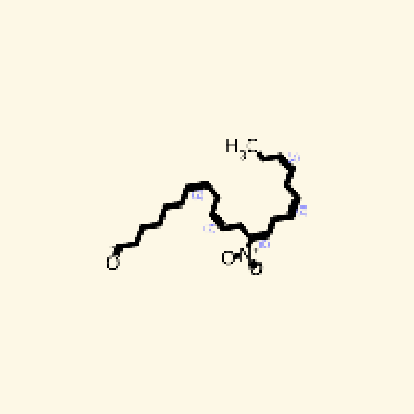 CC/C=C\C/C=C\C/C=C(\C/C=C\C/C=C\CCCCC[C]=O)[N+](=O)[O-]